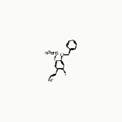 CC(=O)C=Cc1ccc(OCc2ccccc2)cc1I.CCCCCI